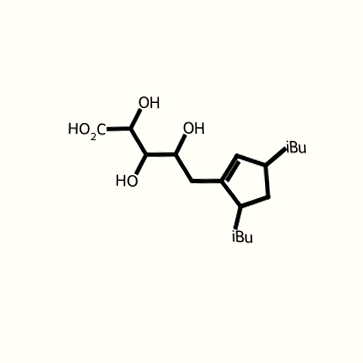 CCC(C)C1C=C(CC(O)C(O)C(O)C(=O)O)C(C(C)CC)C1